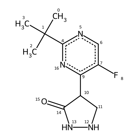 CC(C)(C)c1ncc(F)c(C2CNNC2=O)n1